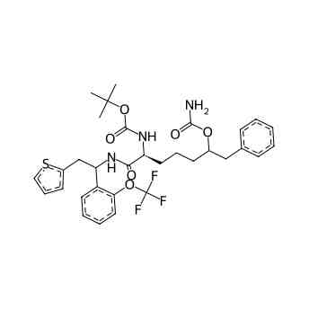 CC(C)(C)OC(=O)N[C@@H](CCCC(Cc1ccccc1)OC(N)=O)C(=O)NC(Cc1cccs1)c1ccccc1OC(F)(F)F